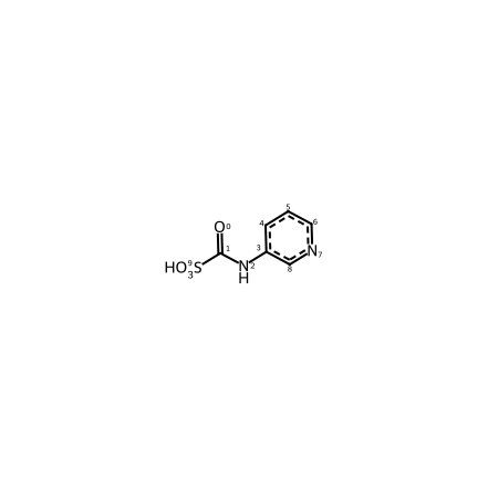 O=C(Nc1cccnc1)S(=O)(=O)O